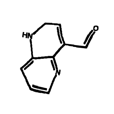 O=CC1=CCNc2cccnc21